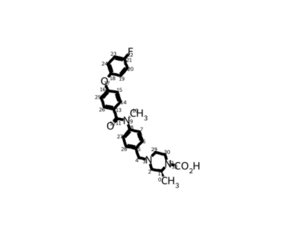 C[C@H]1CN(Cc2ccc(N(C)C(=O)c3ccc(Oc4ccc(F)cc4)cc3)cc2)CCN1C(=O)O